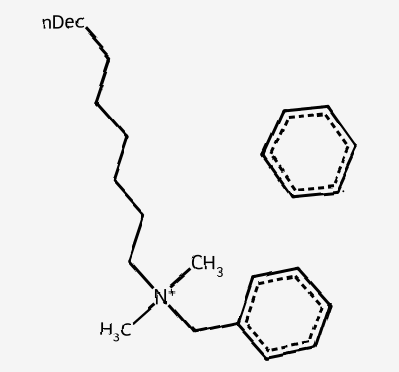 CCCCCCCCCCCCCCCC[N+](C)(C)Cc1ccccc1.[c]1ccccc1